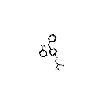 CC(O)COc1ccc(Oc2ccccc2)cc1.Cc1ccccc1